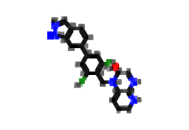 O=c1cnc2ncccc2n1Cc1c(F)cc(-c2ccc3cn[nH]c3c2)cc1F